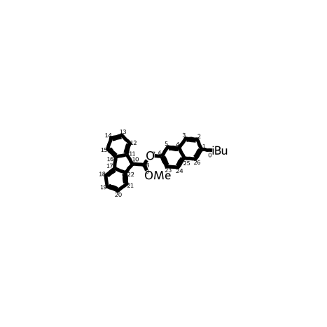 CCC(C)c1ccc2cc(OC(OC)C3c4ccccc4-c4ccccc43)ccc2c1